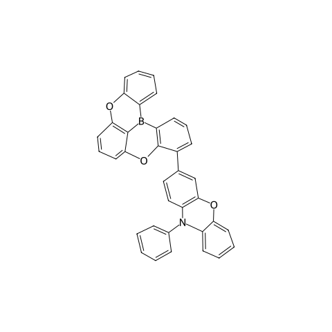 c1ccc(N2c3ccccc3Oc3cc(-c4cccc5c4Oc4cccc6c4B5c4ccccc4O6)ccc32)cc1